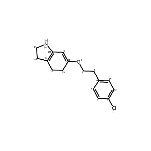 Clc1ccc(CCOC2=CC3=C(CCN3)CC2)cc1